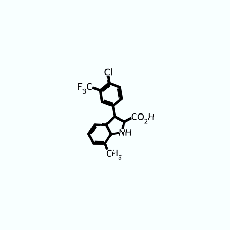 CC1=CC=CC2C1NC(C(=O)O)C2c1ccc(Cl)c(C(F)(F)F)c1